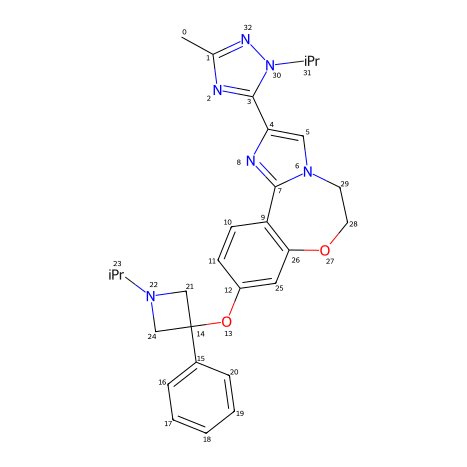 Cc1nc(-c2cn3c(n2)-c2ccc(OC4(c5ccccc5)CN(C(C)C)C4)cc2OCC3)n(C(C)C)n1